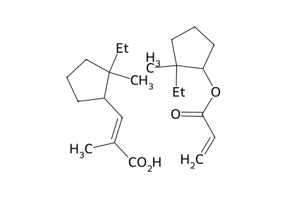 C=CC(=O)OC1CCCC1(C)CC.CCC1(C)CCCC1C=C(C)C(=O)O